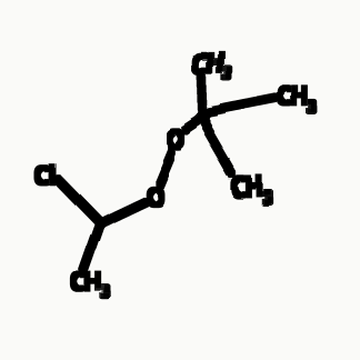 CC(Cl)OOC(C)(C)C